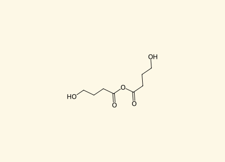 O=C(CCCO)OC(=O)CCCO